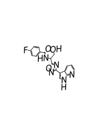 O=C(NC(CO)c1nc(-c2c[nH]c3ncccc23)no1)c1ccc(F)cc1